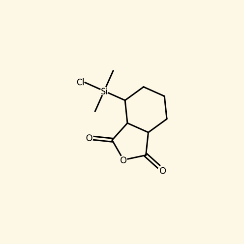 C[Si](C)(Cl)C1CCCC2C(=O)OC(=O)C21